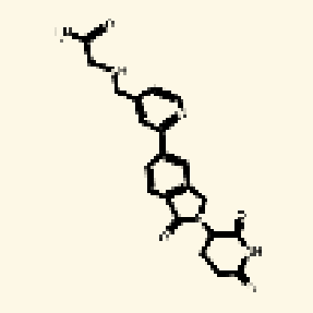 NC(=O)CNCc1ccnc(-c2ccc3c(c2)CN(C2CCC(=O)NC2=O)C3=O)c1